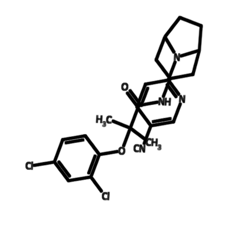 CC(C)(Oc1ccc(Cl)cc1Cl)C(=O)NC1CC2CCC(C1)N2c1ccc(C#N)cn1